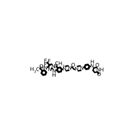 COc1cc(N2CCN(C(=O)CN3CCN(c4ccc(NC5CCC(=O)NC5=O)cc4)CC3)CC2)ccc1Nc1ncc(C(F)(F)F)c(Nc2ccccc2C(C)=O)n1